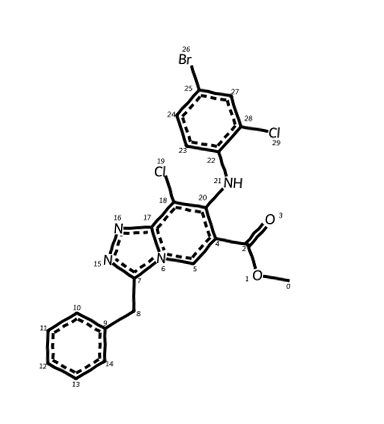 COC(=O)c1cn2c(Cc3ccccc3)nnc2c(Cl)c1Nc1ccc(Br)cc1Cl